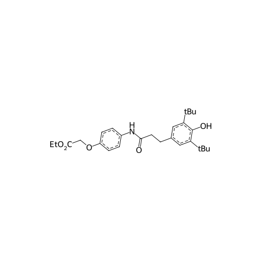 CCOC(=O)COc1ccc(NC(=O)CCc2cc(C(C)(C)C)c(O)c(C(C)(C)C)c2)cc1